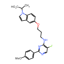 COc1ccc(-c2ncc(F)c(NCCCOc3ccc4c(ccn4C(C)C(=O)O)c3)n2)cc1